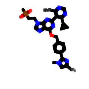 COc1ncnc(C2CC2)c1-c1nc(OCc2ccc(-c3nc(C(F)(F)F)cn3C)cc2)c2ncn(CCS(C)(=O)=O)c2n1